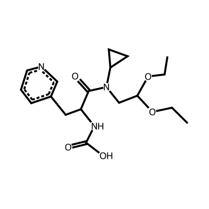 CCOC(CN(C(=O)C(Cc1cccnc1)NC(=O)O)C1CC1)OCC